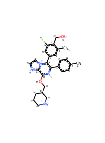 Cc1cc(-c2c(-c3ccc(C#N)cc3)nc(OC[C@@H]3CCCNC3)c3nccn23)cc(F)c1CO